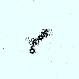 C[C@@H](CNc1ccc(S(=O)(=O)NC(N)=O)cc1)NC(=O)[CH]CC1CCCCC1